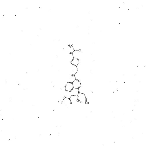 C#CCN(c1ccc(NSc2ccc(NC(C)=O)cc2)c2ccccc12)[C@@H](C)CC(=O)OC